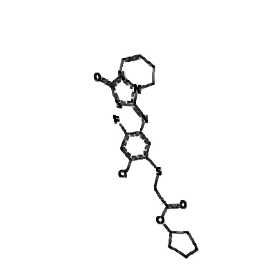 O=C(CSc1cc(N=c2sc(=O)n3n2CCC=C3)c(F)cc1Cl)OC1CCCC1